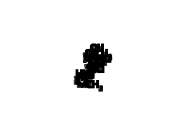 C\C=C/C(=C\C=C(/C)O)C1CC(C(=O)NN2CCCCCC(C)C2)=NN1c1ccc(Cl)cc1Cl